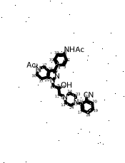 CC(=O)Nc1ccc(-c2nn(CC(O)CN3CCN(c4ccccc4C#N)CC3)c3c2CN(C(C)=O)CC3)cc1